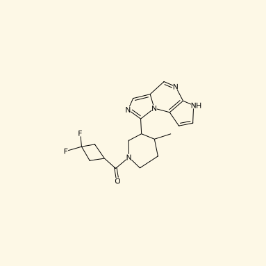 CC1CCN(C(=O)C2CC(F)(F)C2)CC1c1ncc2cnc3[nH]ccc3n12